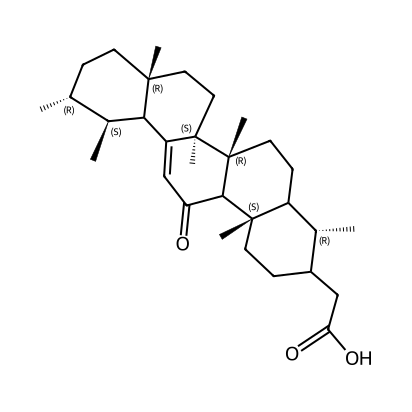 C[C@@H]1C(CC(=O)O)CC[C@@]2(C)C1CC[C@]1(C)C2C(=O)C=C2C3[C@@H](C)[C@H](C)CC[C@]3(C)CC[C@]21C